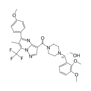 COc1ccc(-c2nc3c(C(=O)N4CCN([C@H](CO)c5cccc(OC)c5OC)CC4)cnn3c(C(F)(F)F)c2C)cc1